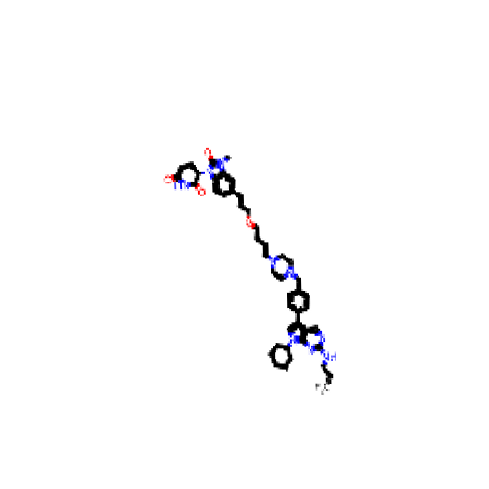 Cn1c(=O)n([C@H]2CCC(=O)NC2=O)c2ccc(CCCOCCCCN3CCN(Cc4ccc(-c5cn(C6CCCCC6)c6nc(NCCC(F)(F)F)ncc56)cc4)CC3)cc21